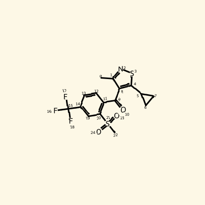 Cc1nsc(C2CC2)c1C(=O)c1ccc(C(F)(F)F)cc1S(C)(=O)=O